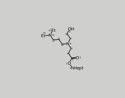 CCCCCCCOC(=O)CCN(CCO)CCCN(CC)CC